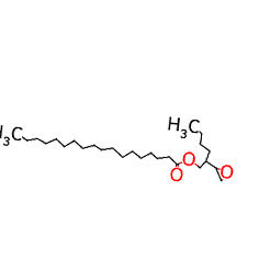 CCCCCCCCCCCCCCCCCC(=O)OCC(CCCC)C1CO1